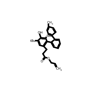 C=CCOC(=O)CCc1cc(C(C)(C)C)c(O)c(C(C)(C)C)c1-c1ccccc1-c1ccc(C)cc1